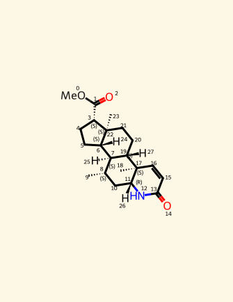 COC(=O)[C@H]1CC[C@H]2[C@@H]3[C@@H](C)C[C@H]4NC(=O)C=C[C@]4(C)[C@H]3CC[C@]12C